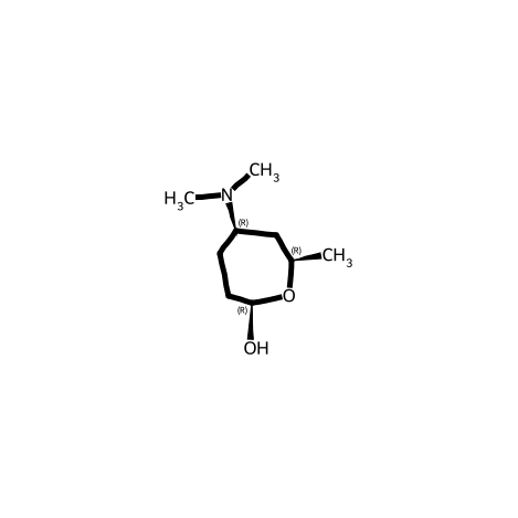 C[C@@H]1C[C@H](N(C)C)CC[C@H](O)O1